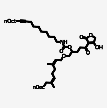 CCCCCCCCC#CCCCCCCCCNC(=O)OC(CCC(=O)C1=C(O)COC1=O)COCC=C(C)CCC=C(C)CCCCCCCCCCC